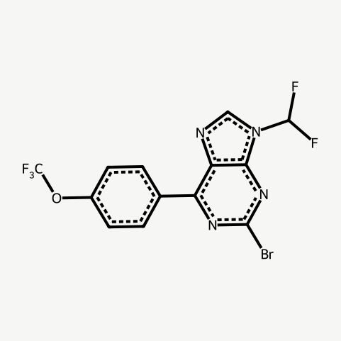 FC(F)n1cnc2c(-c3ccc(OC(F)(F)F)cc3)nc(Br)nc21